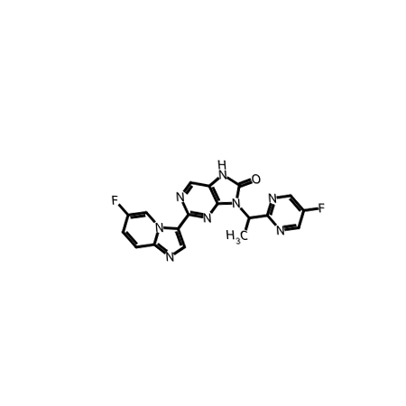 CC(c1ncc(F)cn1)n1c(=O)[nH]c2cnc(-c3cnc4ccc(F)cn34)nc21